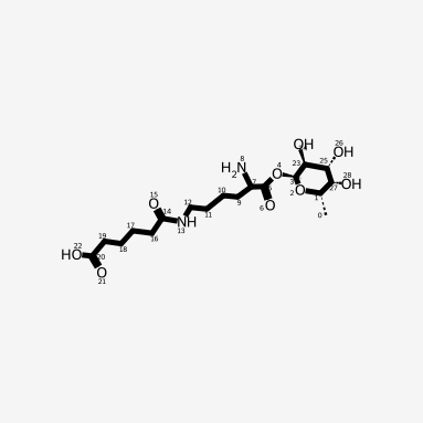 C[C@@H]1O[C@@H](OC(=O)C(N)CCCCNC(=O)CCCCC(=O)O)[C@@H](O)[C@H](O)[C@@H]1O